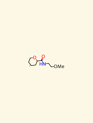 COCCNC(=O)C1C[C]CCO1